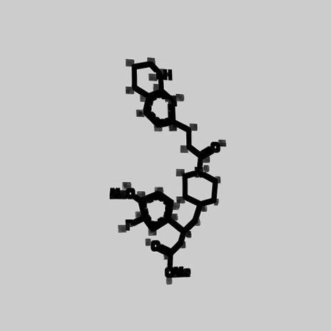 COC(=O)CC(CC1CCN(C(=O)CCc2ccc3c(n2)NCCC3)CC1)c1ccc(OC)c(F)c1